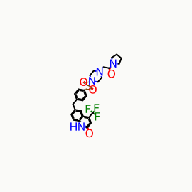 O=C(CN1CCN(S(=O)(=O)c2ccc(Cc3ccc4[nH]c(=O)cc(C(F)(F)F)c4c3)cc2)CC1)N1CCCC1